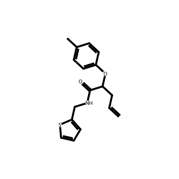 C=CCC(Oc1ccc(C)cc1)C(=O)NCc1cccs1